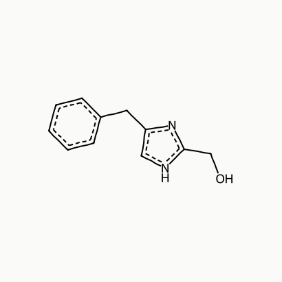 OCc1nc(Cc2ccccc2)c[nH]1